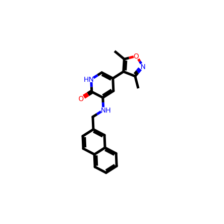 Cc1noc(C)c1-c1c[nH]c(=O)c(NCc2ccc3ccccc3c2)c1